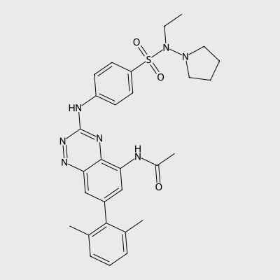 CCN(N1CCCC1)S(=O)(=O)c1ccc(Nc2nnc3cc(-c4c(C)cccc4C)cc(NC(C)=O)c3n2)cc1